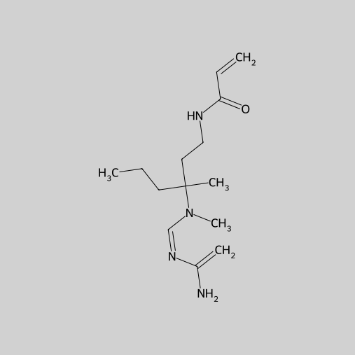 C=CC(=O)NCCC(C)(CCC)N(C)/C=N\C(=C)N